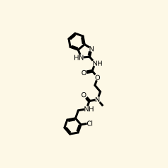 CN(CCOC(=O)Nc1nc2ccccc2[nH]1)C(=O)NCc1ccccc1Cl